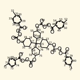 Cc1ccc(C(=O)OOC(=O)OC2CCC(C(C3CCC(OC(=O)OOC(=O)c4ccc(C)cc4)CC3)(C3CCC(OC(=O)OOC(=O)c4ccc(C)cc4)CC3)C3CCC(OC(=O)OOC(=O)c4ccc(C)cc4)CC3)CC2)cc1